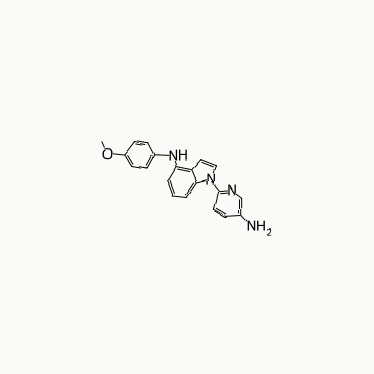 COc1ccc(Nc2cccc3c2ccn3-c2ccc(N)cn2)cc1